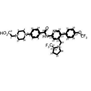 O=C(O)CN1CCN(c2ccc(C(=O)Nc3cc(CN4CCC[C@H]4C(F)(F)F)c(-c4ccc(OC(F)(F)F)cc4)cn3)cc2)CC1